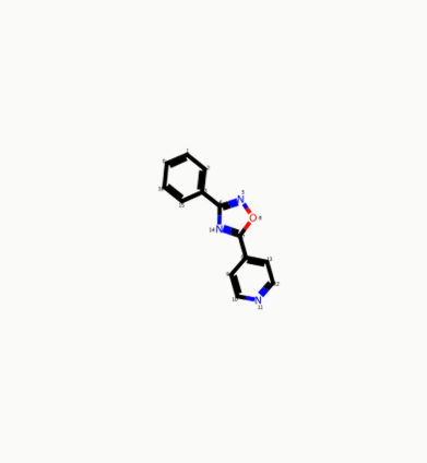 [c]1ccc(-c2noc(-c3ccncc3)n2)cc1